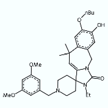 CCCCOc1cc2c(cc1O)CN1C(=O)N(CC)C3(CCN(Cc4cc(OC)cc(OC)c4)CC3)C1=CC2(C)C